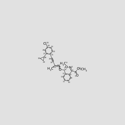 CO/N=C(/C(=O)OC)c1ccccc1CO/N=C(\C)C#Cc1ccc(Cl)cc1C1CC1